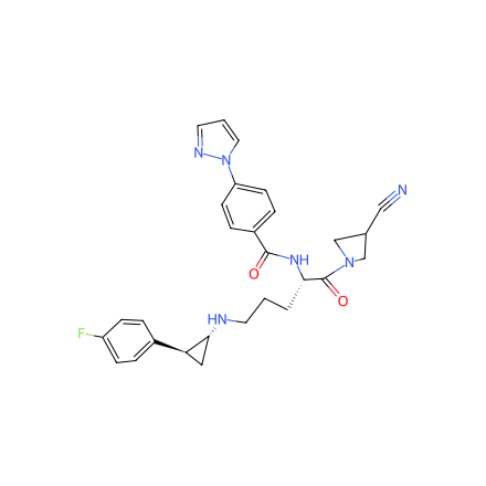 N#CC1CN(C(=O)[C@H](CCCN[C@@H]2C[C@H]2c2ccc(F)cc2)NC(=O)c2ccc(-n3cccn3)cc2)C1